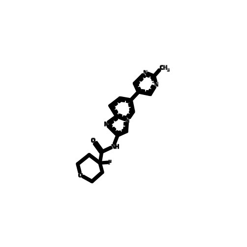 Cc1ncc(-c2ccc3nc(NC(=O)C4(F)CCOCC4)cn3c2)cn1